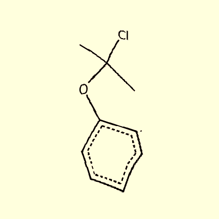 CC(C)(Cl)Oc1[c]cccc1